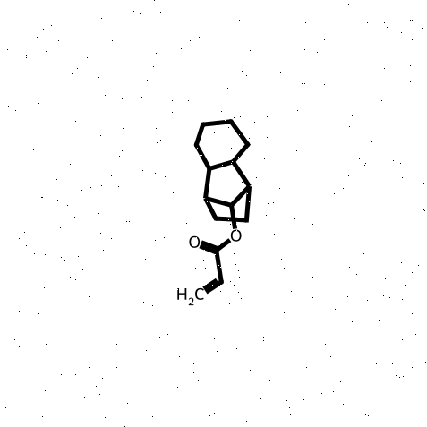 C=CC(=O)OC1C2CCC1C1CCCCC12